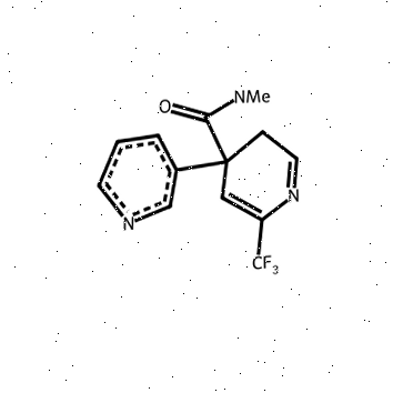 CNC(=O)C1(c2cccnc2)C=C(C(F)(F)F)N=CC1